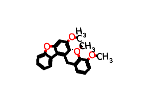 COc1[c]c(Cc2cccc(OC)c2OC)c2c(c1)oc1ccccc12